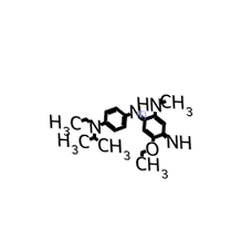 CCOC1=C/C(=N\c2ccc(N(CC)C(C)C)cc2)C(NC)=CC1=N